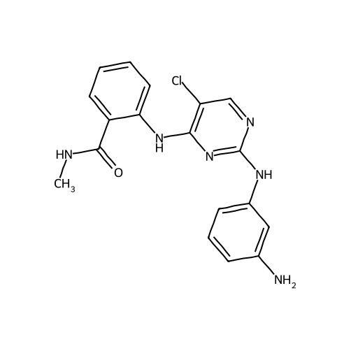 CNC(=O)c1ccccc1Nc1nc(Nc2cccc(N)c2)ncc1Cl